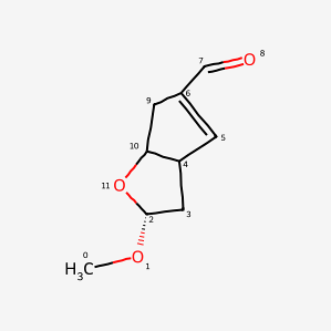 CO[C@H]1CC2C=C(C=O)CC2O1